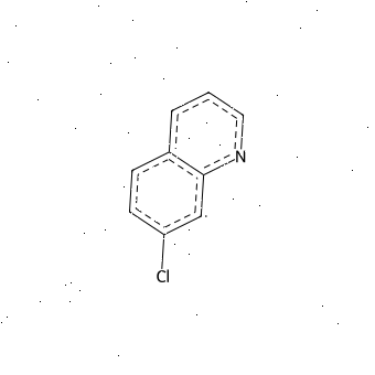 Clc1[c]c2ncccc2cc1